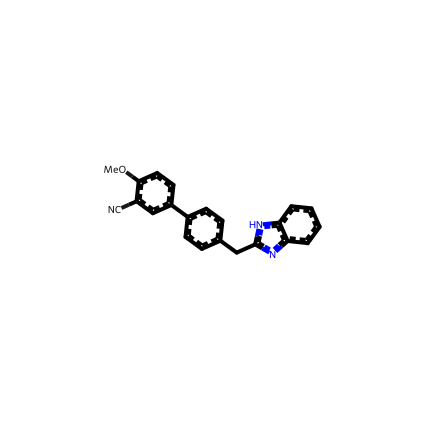 COc1ccc(-c2ccc(Cc3nc4ccccc4[nH]3)cc2)cc1C#N